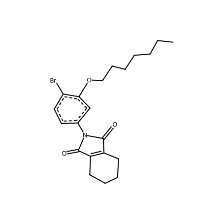 CCCCCCCOc1cc(N2C(=O)C3=C(CCCC3)C2=O)ccc1Br